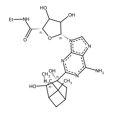 CCNC(=O)[C@H]1O[C@@H](n2cnc3c(N)nc([C@@]4(O)CC5CC(C5(C)C)[C@@]4(C)O)nc32)C(O)C1O